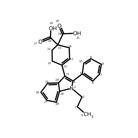 CCCn1c(-c2ccccc2)c(C2=CCC(C(=O)O)(C(=O)O)CC2)c2ccccc21